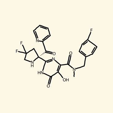 CN(Cc1ccc(F)cc1)C(=O)c1nc([C@]2(C(=O)c3ccccn3)CC(F)(F)CN2)[nH]c(=O)c1O